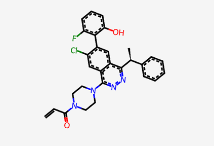 C=CC(=O)N1CCN(c2nnc([C@@H](C)c3ccccc3)c3cc(-c4c(O)cccc4F)c(Cl)cc23)CC1